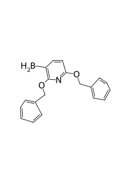 Bc1ccc(OCc2ccccc2)nc1OCc1ccccc1